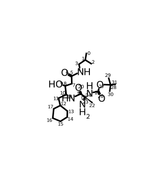 CC(C)CNC(=O)CC(O)C(CC1CCCCC1)NC(=O)[C@@](C)(N)NC(=O)OC(C)(C)C